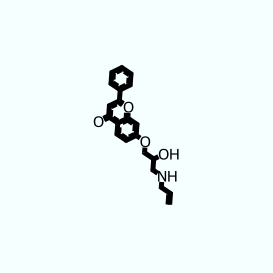 C=CCNCC(O)COc1ccc2c(=O)cc(-c3ccccc3)oc2c1